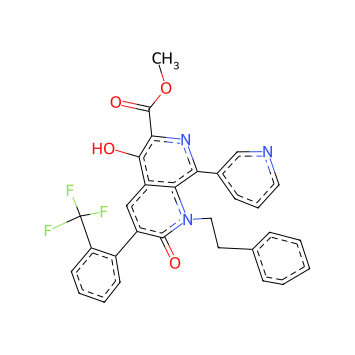 COC(=O)c1nc(-c2cccnc2)c2c(cc(-c3ccccc3C(F)(F)F)c(=O)n2CCc2ccccc2)c1O